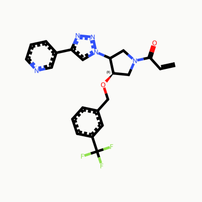 C=CC(=O)N1CC(n2cc(-c3cccnc3)nn2)[C@H](OCc2cccc(C(F)(F)F)c2)C1